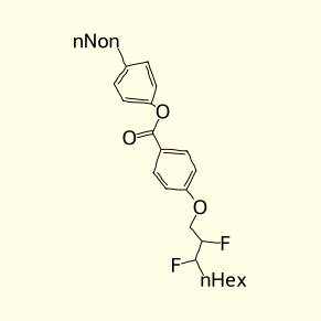 CCCCCCCCCc1ccc(OC(=O)c2ccc(OCC(F)C(F)CCCCCC)cc2)cc1